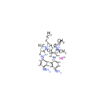 CCC[N+](C)(C)C1CCN(c2ccc(N)cc2)C1.CC[N+](C)(C)C1CCN(c2ccc(N)cc2)C1.I